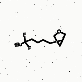 CC(C)(C)C(F)(F)CCCCC12COCC1C2